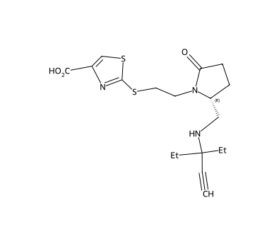 C#CC(CC)(CC)NC[C@H]1CCC(=O)N1CCSc1nc(C(=O)O)cs1